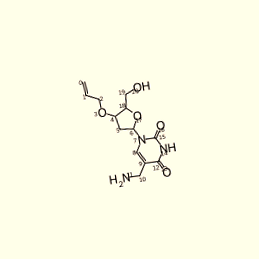 C=CCOC1CC(n2cc(CN)c(=O)[nH]c2=O)OC1CO